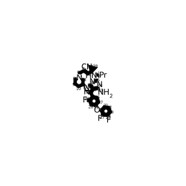 CC(C)NC1(C=C(C#N)CN2CCCC(n3nc(-c4ccc(Oc5cccc(F)c5F)cc4F)c4c(N)ncnc43)C2)CC1